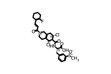 C[S+]([O-])c1cccc(C[C@H](NC(=O)C2[C@H](Cl)C3=C(C[C@@H]2Cl)CN(C(=O)/C=C/C2=C(F)CCCC2)CC3)C(=O)O)c1